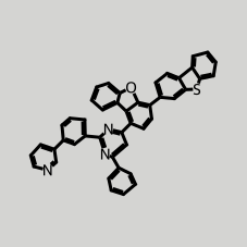 c1ccc(-c2cc(-c3ccc(-c4ccc5c(c4)sc4ccccc45)c4oc5ccccc5c34)nc(-c3cccc(-c4cccnc4)c3)n2)cc1